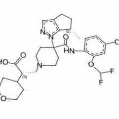 C[C@H]1CCc2cnn(C3(C(=O)Nc4ccc(Cl)cc4OC(F)F)CCN(C[C@@H](C(=O)O)C4CCOCC4)CC3)c21